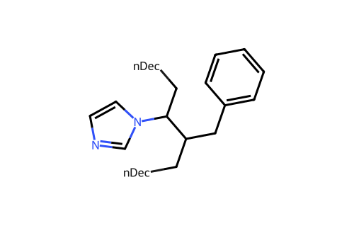 CCCCCCCCCCCC(Cc1ccccc1)C(CCCCCCCCCCC)n1ccnc1